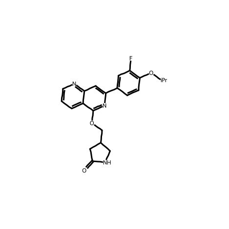 CC(C)Oc1ccc(-c2cc3ncccc3c(OCC3CNC(=O)C3)n2)cc1F